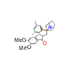 COc1cc2c(cc1OC)C(=O)C(CC1(F)CC3CCC(C1)N3Cc1cc(C)cc(C)c1)C2